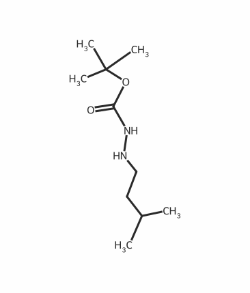 CC(C)CCNNC(=O)OC(C)(C)C